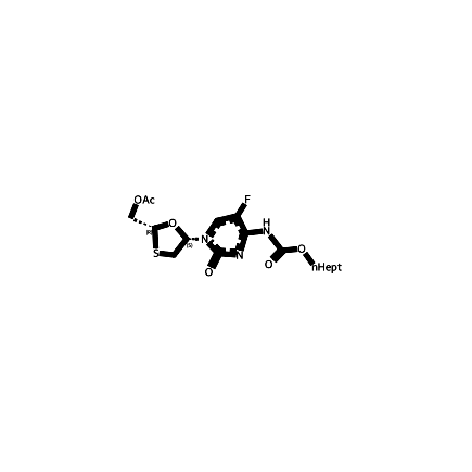 CCCCCCCOC(=O)Nc1nc(=O)n([C@@H]2CS[C@H](COC(C)=O)O2)cc1F